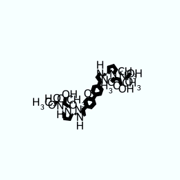 COC(=O)N[C@H](C(=O)N1CCC[C@H]1c1nc(-c2ccc3c(c2)oc2cc(-c4c[nH]c([C@@H]5CCCN5C(=O)[C@@H](N(C)C(=O)O)C(C)(C)O)n4)ccc23)c[nH]1)C(C)(C)O